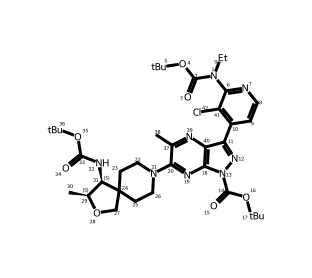 CCN(C(=O)OC(C)(C)C)c1nccc(-c2nn(C(=O)OC(C)(C)C)c3nc(N4CCC5(CC4)CO[C@@H](C)[C@H]5NC(=O)OC(C)(C)C)c(C)nc23)c1Cl